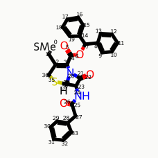 CSCC1=C(C(=O)OC(c2ccccc2)c2ccccc2)N2C(=O)C(NC(=O)Cc3ccccc3)[C@H]2SC1